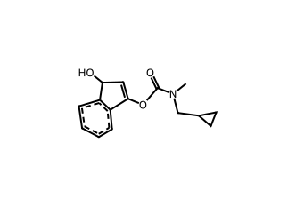 CN(CC1CC1)C(=O)OC1=CC(O)c2ccccc21